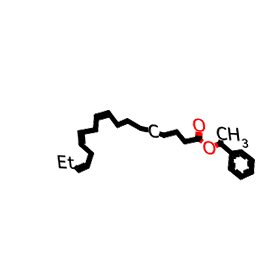 CC/C=C\C/C=C\C/C=C\CCCCCCCC(=O)OC(C)c1ccccc1